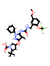 COCc1ccc(OC(F)(F)F)c(CNC(=O)Nc2c(C)c(OC3CC(C(C)(C)C)N(C(=O)O)C3)nn2-c2ccccc2)c1